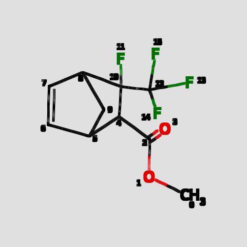 COC(=O)C1C2C=CC(C2)C1(F)C(F)(F)F